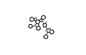 Cc1cc(-c2nc(-c3ccccc3)c3ccccc3n2)ccc1-n1c2ccccc2c2c3oc4ccccc4c3c3c(c4ccccc4n3-c3ccccc3)c21